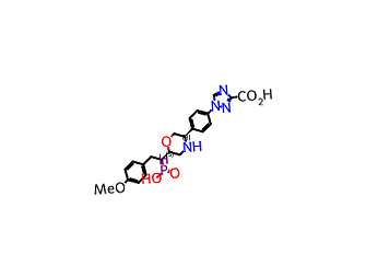 COc1ccc(CC([C@@H]2CN[C@H](c3ccc(-n4cnc(C(=O)O)n4)cc3)CO2)[PH](=O)O)cc1